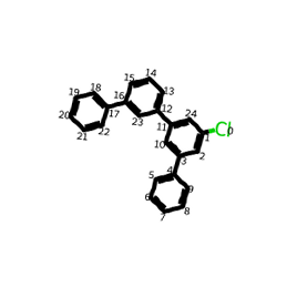 Clc1cc(-c2ccccc2)cc(-c2cccc(-c3ccccc3)c2)c1